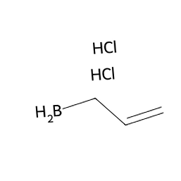 BCC=C.Cl.Cl